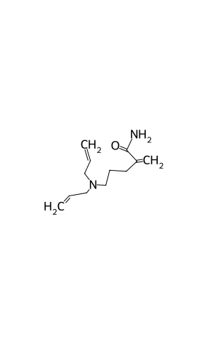 C=CCN(CC=C)CCCC(=C)C(N)=O